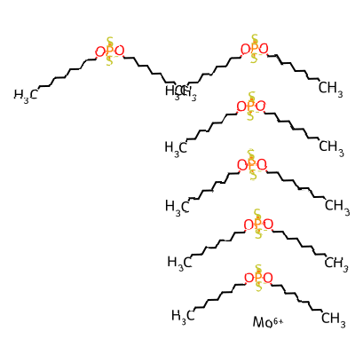 CCCCCCCCCOP(=S)([S-])OCCCCCCCCC.CCCCCCCCCOP(=S)([S-])OCCCCCCCCC.CCCCCCCCCOP(=S)([S-])OCCCCCCCCC.CCCCCCCCCOP(=S)([S-])OCCCCCCCCC.CCCCCCCCCOP(=S)([S-])OCCCCCCCCC.CCCCCCCCCOP(=S)([S-])OCCCCCCCCC.[Mo+6]